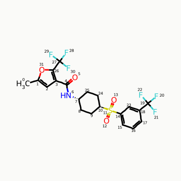 Cc1cc(C(=O)N[C@H]2CC[C@H](S(=O)(=O)c3cccc(C(F)(F)F)c3)CC2)c(C(F)(F)F)o1